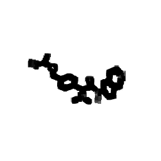 CC(S)OCc1ccc(C(C(=O)Nc2ccc3cnccc3c2)N(C)C)cc1